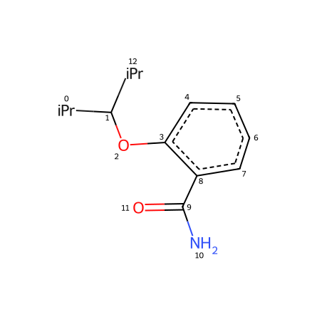 CC(C)C(Oc1ccccc1C(N)=O)C(C)C